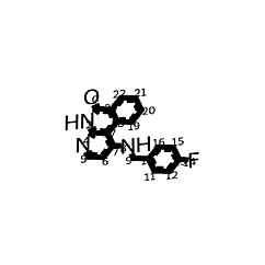 O=c1[nH]c2nccc(NCc3ccc(F)cc3)c2c2ccccc12